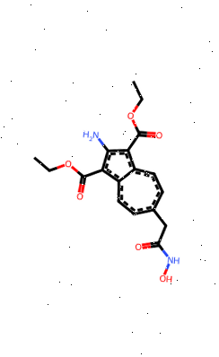 CCOC(=O)c1c2ccc(CC(=O)NO)ccc-2c(C(=O)OCC)c1N